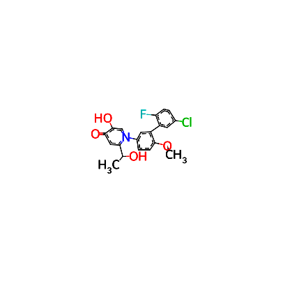 COc1ccc(-n2cc(O)c(=O)cc2C(C)O)cc1-c1cc(Cl)ccc1F